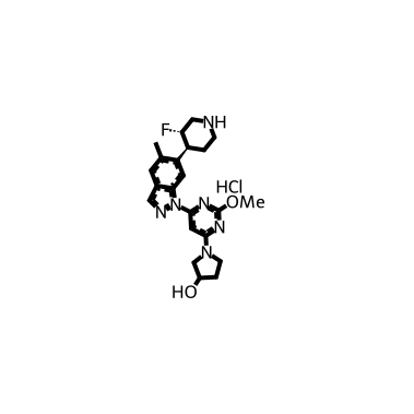 COc1nc(N2CCC(O)C2)cc(-n2ncc3cc(C)c([C@@H]4CCNC[C@H]4F)cc32)n1.Cl